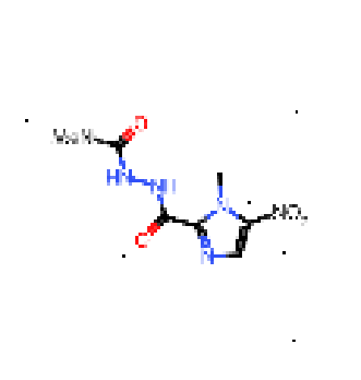 CNC(=O)NNC(=O)c1ncc([N+](=O)[O-])n1C